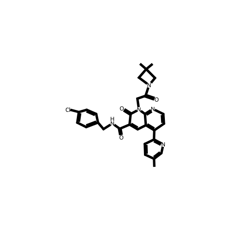 Cc1ccc(-c2ccnc3c2cc(C(=O)NCc2ccc(Cl)cc2)c(=O)n3CC(=O)N2CC(C)(C)C2)nc1